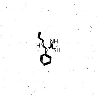 C=CCNN(C(=N)S)c1ccccc1